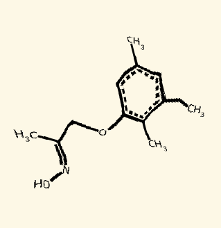 CC(COc1cc(C)cc(C)c1C)=NO